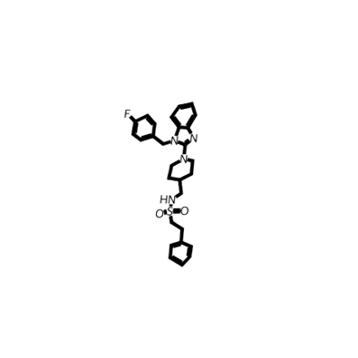 O=S(=O)(CCc1ccccc1)NCC1CCN(c2nc3ccccc3n2Cc2ccc(F)cc2)CC1